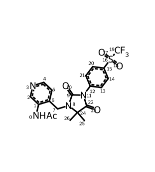 CC(=O)Nc1cnccc1CN1C(=O)N(c2ccc(S(=O)(=O)C(F)(F)F)cc2)C(=O)C1(C)C